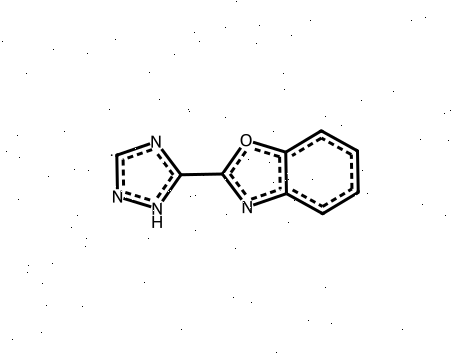 [c]1n[nH]c(-c2nc3ccccc3o2)n1